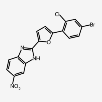 O=[N+]([O-])c1ccc2nc(-c3ccc(-c4ccc(Br)cc4Cl)o3)[nH]c2c1